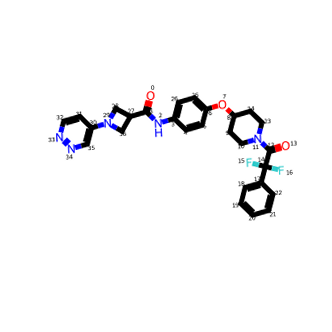 O=C(Nc1ccc(OC2CCN(C(=O)C(F)(F)c3ccccc3)CC2)cc1)C1CN(c2ccnnc2)C1